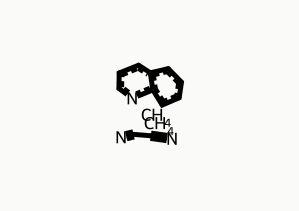 C.C.N#CC#N.c1ccc2ncccc2c1